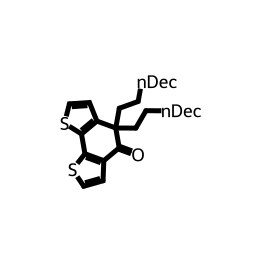 CCCCCCCCCCCCC1(CCCCCCCCCCCC)C(=O)c2ccsc2-c2sccc21